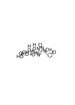 CN(Cc1cccc(Cl)c1)c1nc(Cl)nc2c1cnn2[C@@H]1O[C@H](COCP(=O)(O)O)[C@@H](O)[C@H]1O